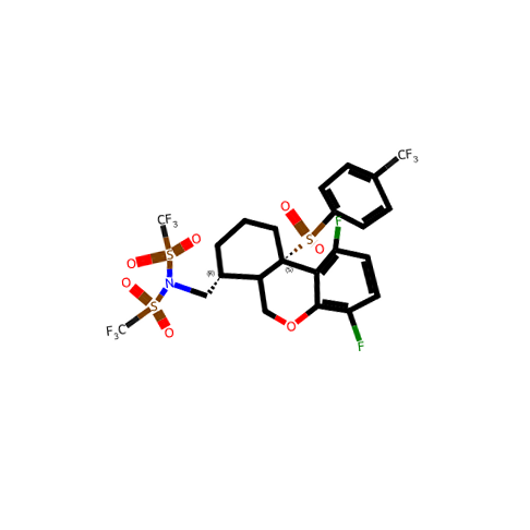 O=S(=O)(N(C[C@@H]1CCC[C@@]2(S(=O)(=O)c3ccc(C(F)(F)F)cc3)c3c(F)ccc(F)c3OCC12)S(=O)(=O)C(F)(F)F)C(F)(F)F